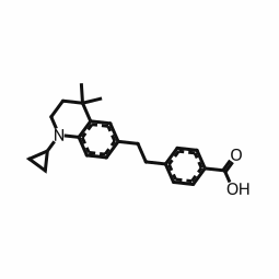 CC1(C)CCN(C2CC2)c2ccc(CCc3ccc(C(=O)O)cc3)cc21